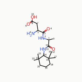 CC(NC(=O)C(N)CC(=O)O)C(=O)NC1C(C)(C)CCCC1(C)C